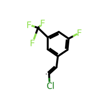 Fc1cc(C=[C]Cl)cc(C(F)(F)F)c1